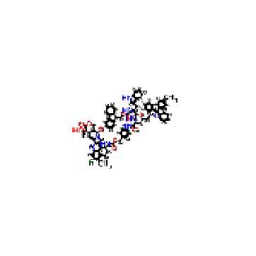 CC[C@@]1(O)C(=O)OCc2c1cc1n(c2=O)Cc2c-1nc1cc(F)c(C)c3c1c2[C@@H](NC(=O)OCc1ccc(NC(=O)[C@H](CCCCNC(c2ccccc2)(c2ccccc2)c2ccc(C)cc2)NC(=O)[C@H](Cc2c[nH]c4ccccc24)NC(=O)OCC2c4ccccc4-c4ccccc42)cc1)CC3